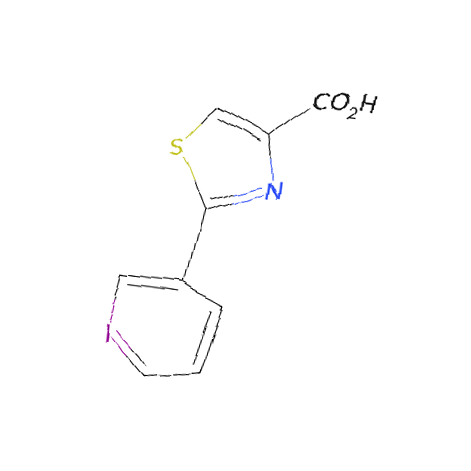 O=C(O)c1csc(C2=CI=CC=C2)n1